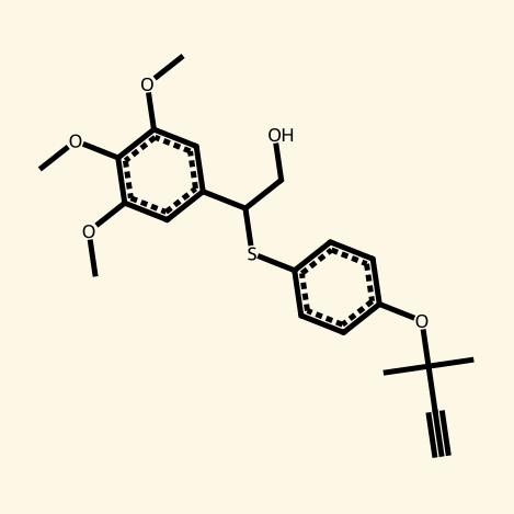 C#CC(C)(C)Oc1ccc(SC(CO)c2cc(OC)c(OC)c(OC)c2)cc1